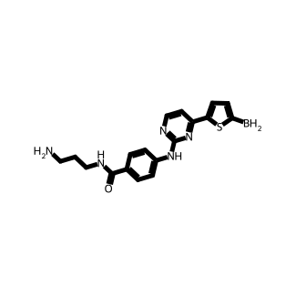 Bc1ccc(-c2ccnc(Nc3ccc(C(=O)NCCCN)cc3)n2)s1